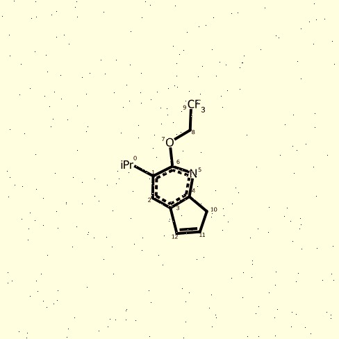 CC(C)c1cc2c(nc1OCC(F)(F)F)CC=C2